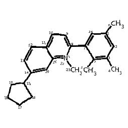 Cc1cc(C)c(C)c(-c2ccc3ccc(C4CCCC4)cc3[n+]2C)c1